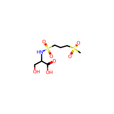 CS(=O)(=O)CCCS(=O)(=O)NC(CO)C(=O)O